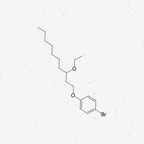 CCCCCCCC(CCOc1ccc(Br)cc1)OCC